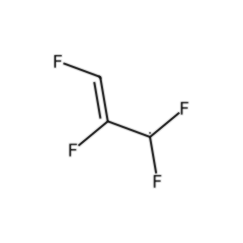 F/C=C(\F)[C](F)F